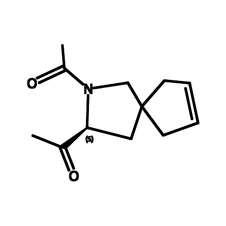 CC(=O)[C@@H]1CC2(CC=CC2)CN1C(C)=O